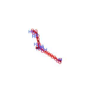 O=C(CCN1C(=O)C=CC1=O)NCCOCCOCCOCCOCCOCCOCCOCCOCCC(=O)NCC(=O)NCC(=O)N[C@@H](Cc1ccccc1)C(=O)NCC(=O)NCOCc1ccc(COc2ccc(NC(=O)NCc3ccc4c(c3)CN(C3CCC(=O)NC3=O)C4=O)cc2)cc1